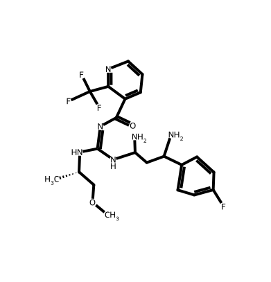 COC[C@H](C)N/C(=N/C(=O)c1cccnc1C(F)(F)F)NC(N)CC(N)c1ccc(F)cc1